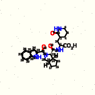 O=C(O)C(C[C@@H]1CCCNC1=O)NC(=O)[C@@H]1[C@H]2CCC[C@H]2CN1C(=O)c1cc2ccccc2[nH]1